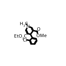 CCOC(=O)C1=CN(C)C=C(C(=O)OC)C1c1ccccc1Cl